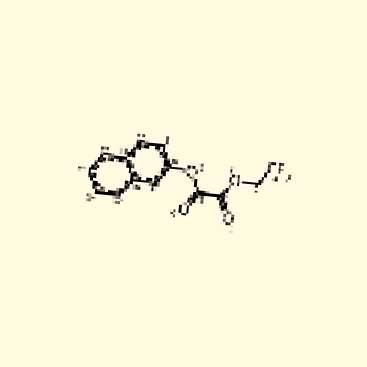 O=C(OCC(F)(F)F)C(=O)Oc1ccc2ccccc2c1